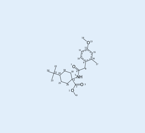 COC(=O)C1(NC(=O)Cc2ccc(OC)cc2C)CCC(C(C)(C)C)CC1